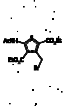 CCOC(=O)c1sc(NC(C)=O)c(C(=O)OCC)c1CBr